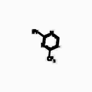 CC(C)c1nc[c]c(C(F)(F)F)n1